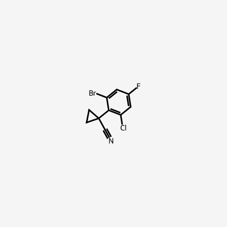 N#CC1(c2c(Cl)cc(F)cc2Br)CC1